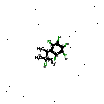 CC(c1c(F)c(F)c(F)c(F)c1F)[Si](C)(C)Cl